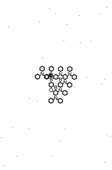 c1ccc(N(c2ccccc2)c2cc3c4c(c2)N(c2ccccc2)c2cc5c(cc2B4c2ccccc2O3)B2c3cc4c(cc3N(c3ccccc3)c3cc(N(c6ccccc6)c6ccccc6)cc(c32)N5c2ccccc2)N(c2ccccc2)c2cc(N(c3ccccc3)c3ccccc3)cc3c2B4c2ccccc2O3)cc1